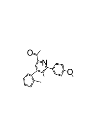 COc1ccc(-c2nc(C(C)=O)cc(-c3ccccc3C)c2C)cc1